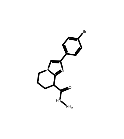 NNC(=O)C1CCCn2cc(-c3ccc(Br)cc3)nc21